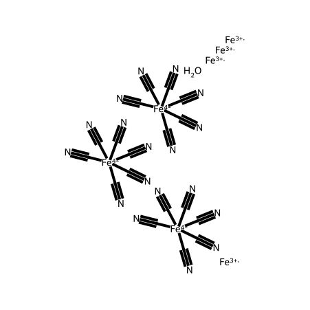 N#[C][Fe-4]([C]#N)([C]#N)([C]#N)([C]#N)[C]#N.N#[C][Fe-4]([C]#N)([C]#N)([C]#N)([C]#N)[C]#N.N#[C][Fe-4]([C]#N)([C]#N)([C]#N)([C]#N)[C]#N.O.[Fe+3].[Fe+3].[Fe+3].[Fe+3]